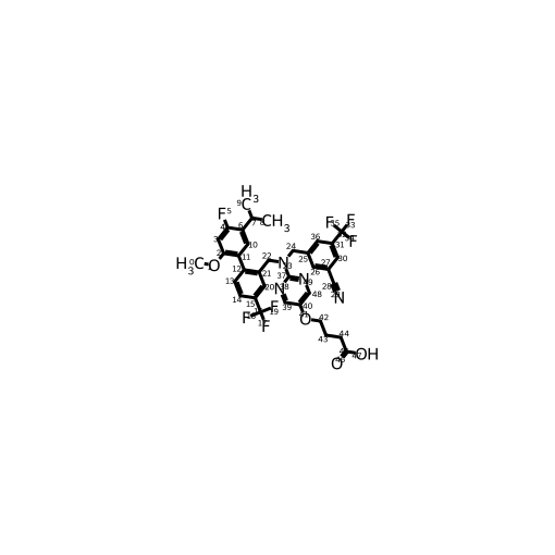 COc1cc(F)c(C(C)C)cc1-c1ccc(C(F)(F)F)cc1CN(Cc1cc(C#N)cc(C(F)(F)F)c1)c1ncc(OCCCC(=O)O)cn1